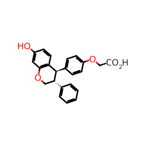 O=C(O)COc1ccc([C@@H]2c3ccc(O)cc3OC[C@H]2c2ccccc2)cc1